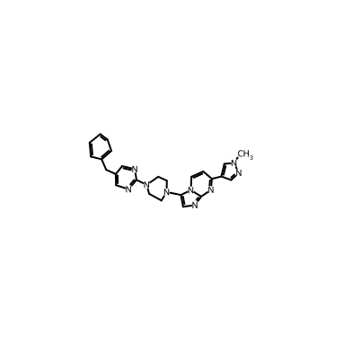 Cn1cc(-c2ccn3c(N4CCN(c5ncc(Cc6ccccc6)cn5)CC4)cnc3n2)cn1